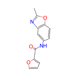 Cc1nc2cc(NC(=O)c3ccco3)ccc2o1